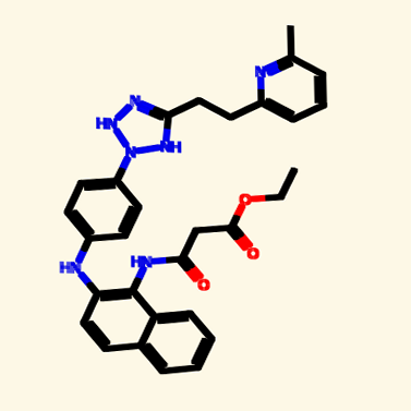 CCOC(=O)CC(=O)Nc1c(Nc2ccc(N3NN=C(CCc4cccc(C)n4)N3)cc2)ccc2ccccc12